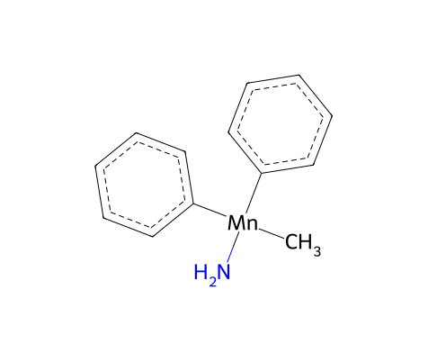 [CH3][Mn]([NH2])([c]1ccccc1)[c]1ccccc1